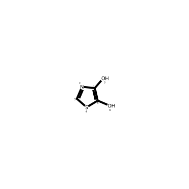 Oc1ncsc1O